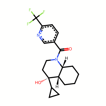 O=C(c1ccc(C(F)(F)F)nc1)N1CC[C@](O)(C2CC2)[C@H]2CCCC[C@H]21